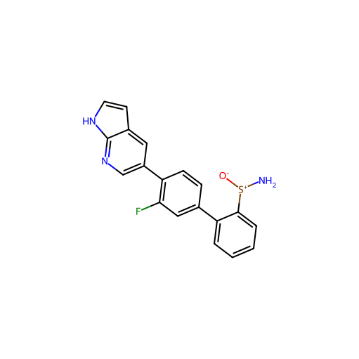 N[S+]([O-])c1ccccc1-c1ccc(-c2cnc3[nH]ccc3c2)c(F)c1